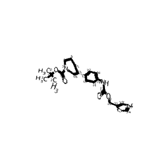 CC(C)(C)OC(=O)N1CCC[C@H](c2ccc(NC(=O)OCc3cnco3)cc2)C1